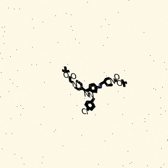 CC(C)(C)OC(=O)CN1CCC(c2nn(Cc3ccc(Cl)cc3)c3cc(/C=C/C4CCN(C(=O)OC(C)(C)C)CC4)ccc23)CC1